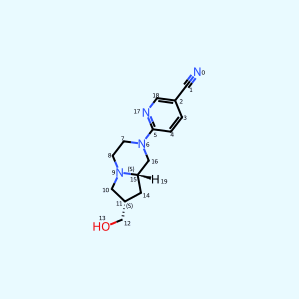 N#Cc1ccc(N2CCN3C[C@@H](CO)C[C@H]3C2)nc1